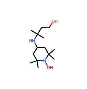 CC(C)(CCO)NC1CC(C)(C)N(O)C(C)(C)C1